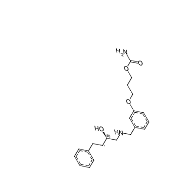 NC(=O)OCCCOc1cccc(CNC[C@H](O)[CH]Cc2ccccc2)c1